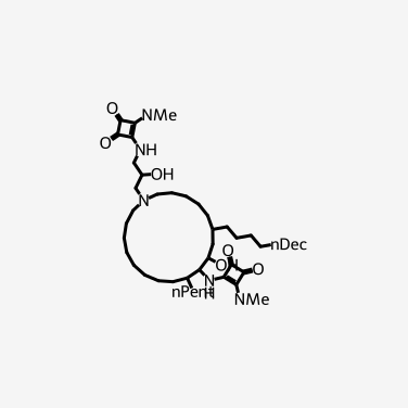 CCCCCCCCCCCCCCC1CCCCCN(CC(O)CNc2c(NC)c(=O)c2=O)CCCCCCCCC(CCCCC)C(Nc2c(NC)c(=O)c2=O)C(O)C1